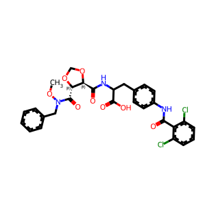 CON(Cc1ccccc1)C(=O)[C@@H]1OCO[C@H]1C(=O)NC(Cc1ccc(NC(=O)c2c(Cl)cccc2Cl)cc1)C(=O)O